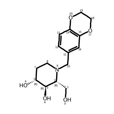 OC[C@@H]1[C@@H](O)[C@H](O)CCN1Cc1ccc2c(c1)OCCO2